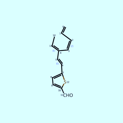 C=C\C=C/C(/C=C/c1ccc(C=O)s1)=C\C